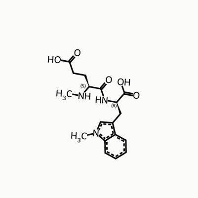 CN[C@@H](CCC(=O)O)C(=O)N[C@H](Cc1cn(C)c2ccccc12)C(=O)O